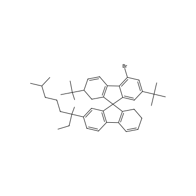 CCC(C)(CCCC(C)C)c1ccc2c(c1)C1(C3=C2C=CCC3)C2=C(C=CC(C(C)(C)C)C2)c2c(Br)cc(C(C)(C)C)cc21